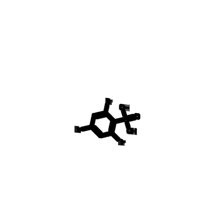 O=P(O)(O)c1c(Br)cc(Br)cc1Br